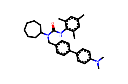 Cc1cc(C)c(NC(=O)N(Cc2ccc(-c3ccc(N(C)C)cc3)cc2)C2CCCCCC2)c(C)c1